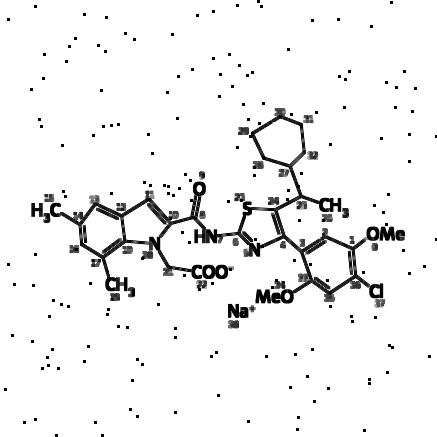 COc1cc(-c2nc(NC(=O)c3cc4cc(C)cc(C)c4n3CC(=O)[O-])sc2C(C)C2CCCCC2)c(OC)cc1Cl.[Na+]